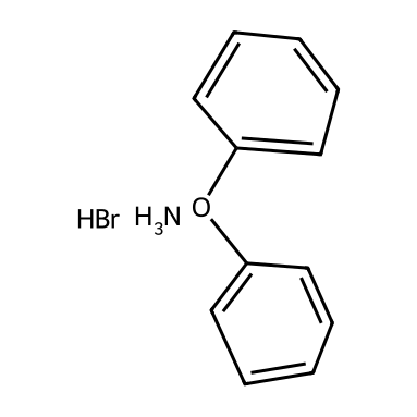 Br.N.c1ccc(Oc2ccccc2)cc1